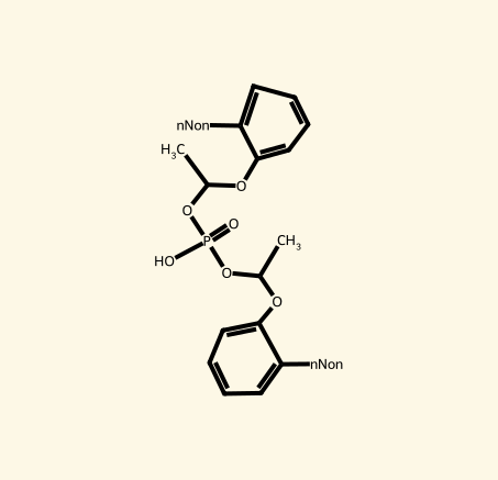 CCCCCCCCCc1ccccc1OC(C)OP(=O)(O)OC(C)Oc1ccccc1CCCCCCCCC